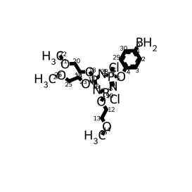 Bc1ccc(OP2(Cl)=NP(Cl)(OCCOC)=NP(OCCOC)(OCCOC)=N2)cc1